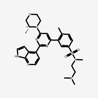 Cc1ccc(S(=O)(=O)N(C)CCN(C)C)cc1-c1cc(N2CCOC[C@H]2C)nc(-c2ccnc3[nH]ccc23)n1